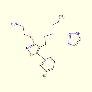 CCCCCCc1c(OCCN)noc1-c1ccccc1.Cl.c1c[nH]nn1